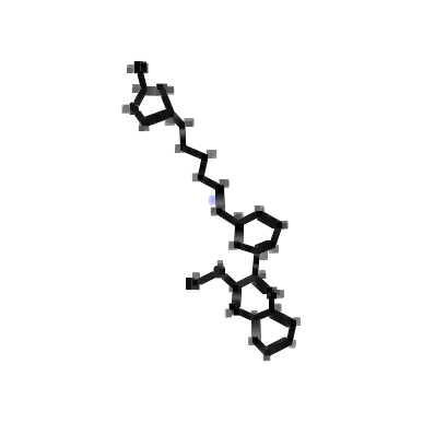 CCOc1nc2ccccc2nc1-c1cccc(/C=C/CCCCc2csc(CC)n2)c1